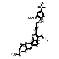 COc1cc(P(C)(C)=O)ccc1NCC#Cc1sc2c(NC3CCN(CC(F)(F)F)CC3F)cccc2c1CC(F)(F)F